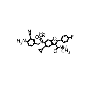 CNC(=O)c1c(-c2ccc(F)cc2)oc2cc(N(Cc3ccc(N)c(C#N)c3)[SH](=O)=O)c(C3CC3)cc12